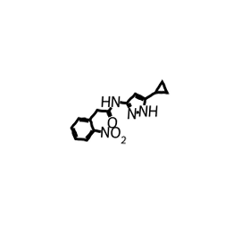 O=C(Cc1ccccc1[N+](=O)[O-])Nc1cc(C2CC2)[nH]n1